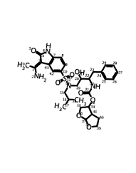 CC(N)=C1C(=O)Nc2ccc(S(=O)(=O)N(CC(C)C)CC(O)C(Cc3ccccc3)NC(=O)OC3COC4OCCC34)cc21